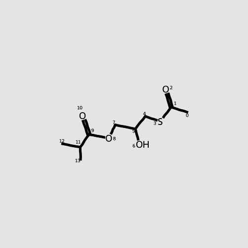 CC(=O)SCC(O)COC(=O)C(C)C